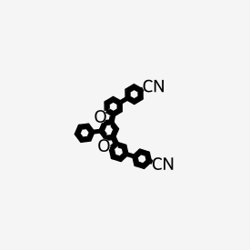 N#Cc1ccc(-c2ccc3oc4c(-c5ccccc5)c5oc6ccc(-c7ccc(C#N)cc7)cc6c5cc4c3c2)cc1